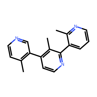 Cc1ccncc1-c1ccnc(-c2cccnc2C)c1C